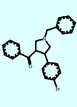 O=C(c1ccccc1)C1CN(Cc2ccccc2)CC1c1ccc(Br)cc1